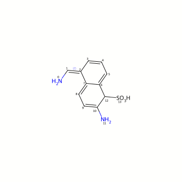 N/C=c1/cccc2c1=CC=C(N)C2S(=O)(=O)O